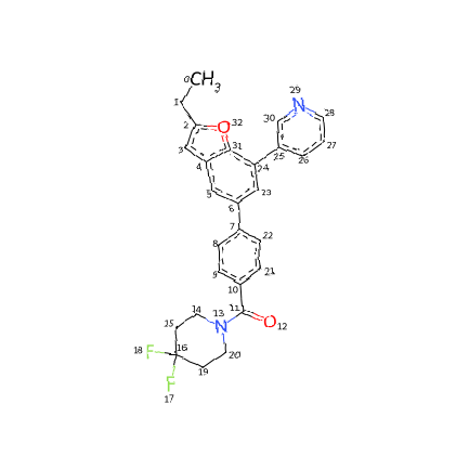 CCc1cc2cc(-c3ccc(C(=O)N4CCC(F)(F)CC4)cc3)cc(-c3cccnc3)c2o1